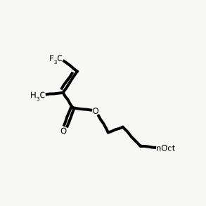 CCCCCCCCCCCOC(=O)C(C)=CC(F)(F)F